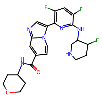 O=C(NC1CCOCC1)c1ccn2c(-c3nc(NC4CNCCC4F)c(F)cc3F)cnc2c1